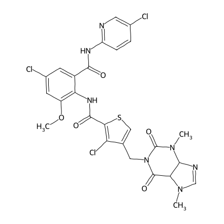 COc1cc(Cl)cc(C(=O)Nc2ccc(Cl)cn2)c1NC(=O)c1scc(CN2C(=O)C3C(N=CN3C)N(C)C2=O)c1Cl